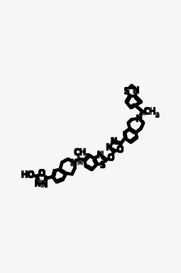 C[C@H](c1ccc2sc(Oc3nnc(-c4ccc5c(c4)CCN([C@@H](C)c4ccc6scnc6c4)CC5)o3)nc2c1)N1CCc2ccc(-c3nnc(O)o3)cc2CC1